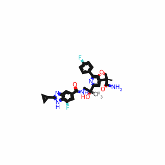 C[C@]1(C(N)=O)COc2c1cc(C(O)(CNC(=O)c1cc(F)c3[nH]c(C4CC4)nc3c1)C(F)(F)F)nc2-c1ccc(F)cc1